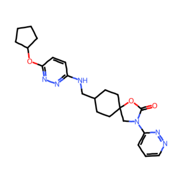 O=C1OC2(CCC(CNc3ccc(OC4CCCC4)nn3)CC2)CN1c1cccnn1